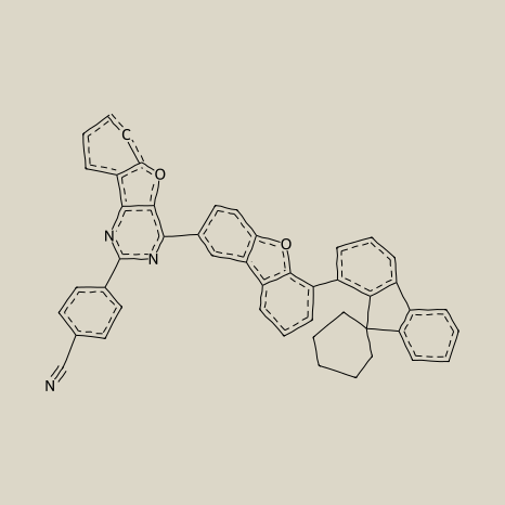 N#Cc1ccc(-c2nc(-c3ccc4oc5c(-c6cccc7c6C6(CCCCC6)c6ccccc6-7)cccc5c4c3)c3oc4ccccc4c3n2)cc1